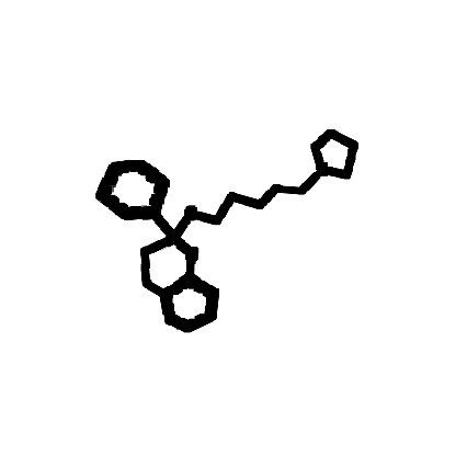 c1ccc(C2(OCCCCCN3CCCC3)CCc3ccccc3O2)cc1